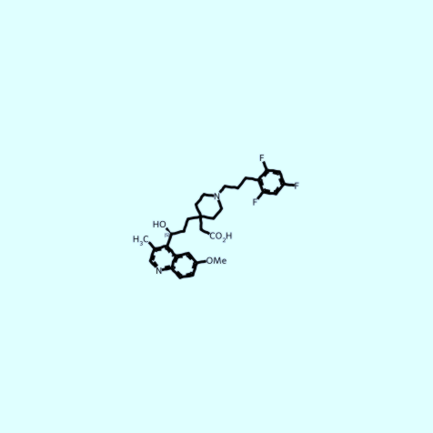 COc1ccc2ncc(C)c([C@@H](O)CCC3(CC(=O)O)CCN(CCCc4c(F)cc(F)cc4F)CC3)c2c1